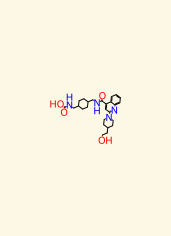 O=C(O)NCC1CCC(CNC(=O)c2cc(N3CCC(CCO)CC3)nc3ccccc23)CC1